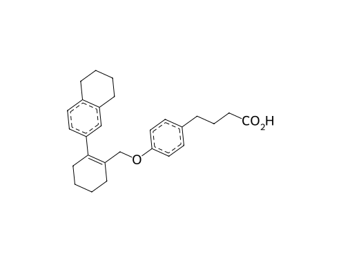 O=C(O)CCCc1ccc(OCC2=C(c3ccc4c(c3)CCCC4)CCCC2)cc1